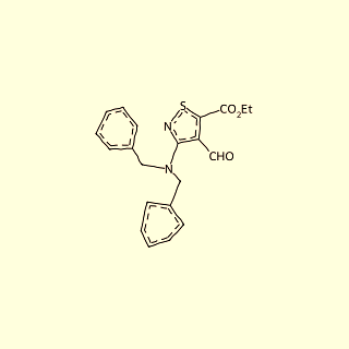 CCOC(=O)c1snc(N(Cc2ccccc2)Cc2ccccc2)c1C=O